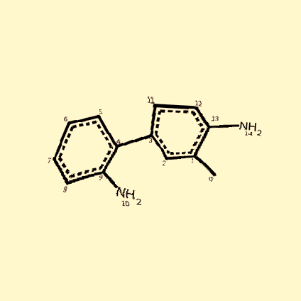 Cc1cc(-c2ccccc2N)ccc1N